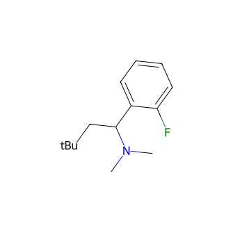 CN(C)C(CC(C)(C)C)c1ccccc1F